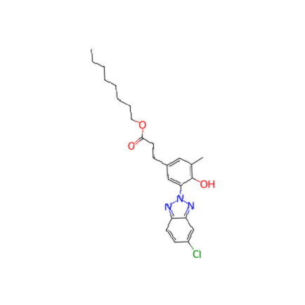 CCCCCCCCOC(=O)CCc1cc(C)c(O)c(-n2nc3ccc(Cl)cc3n2)c1